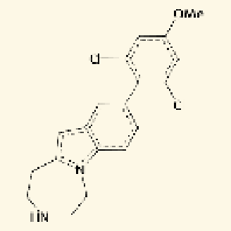 COc1cc(Cl)c(-c2ccc3c(c2)cc2n3CCNCC2)c(Cl)c1